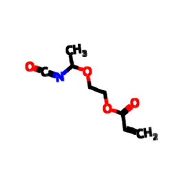 C=CC(=O)OCCOC(C)N=C=O